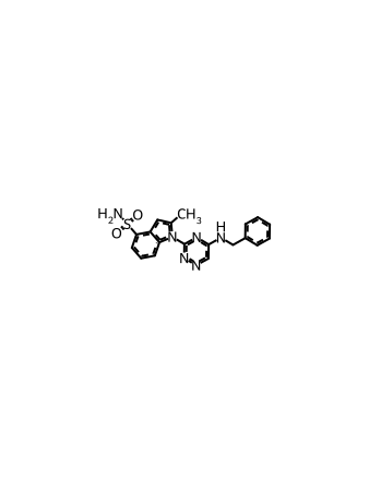 Cc1cc2c(S(N)(=O)=O)cccc2n1-c1nncc(NCc2ccccc2)n1